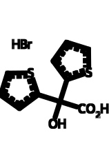 Br.O=C(O)C(O)(c1cccs1)c1cccs1